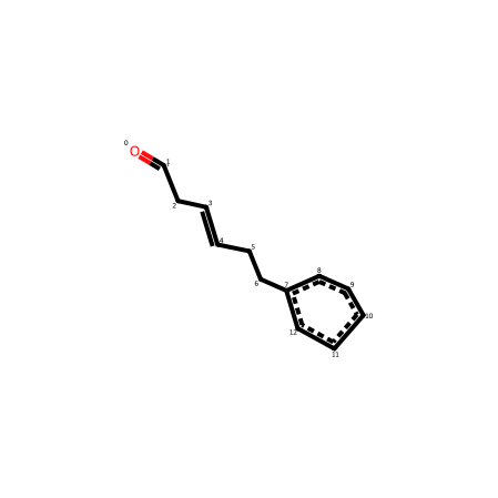 O=[C]CC=CCCc1ccccc1